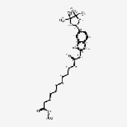 CC(C)(C)OC(=O)CCCCCCCCCCC(=O)Nc1nc2ccc(B3OC(C)(C)C(C)(C)O3)cc2s1